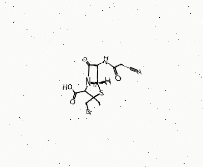 CC1(CBr)S[C@H]2C(NC(=O)CC#N)C(=O)N2C1C(=O)O